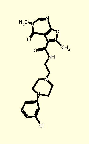 Cc1oc2ncn(C)c(=O)c2c1C(=O)NCCN1CCN(c2cccc(Cl)c2)CC1